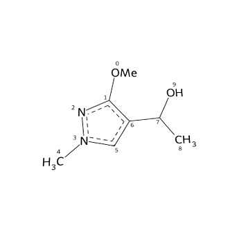 COc1nn(C)cc1C(C)O